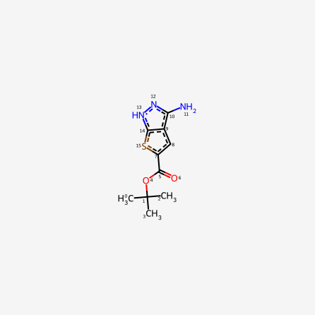 CC(C)(C)OC(=O)c1cc2c(N)n[nH]c2s1